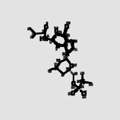 CC(C)C(=O)Nc1nc2c(ncn2[C@H]2CN(C)C[C@@H](CO[P@](=O)(Cl)N(C)C)O2)c(=O)[nH]1